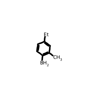 Bc1ccc(CC)cc1C